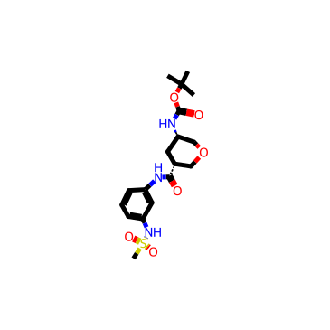 CC(C)(C)OC(=O)N[C@@H]1COC[C@H](C(=O)Nc2cccc(NS(C)(=O)=O)c2)C1